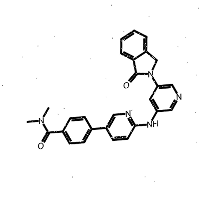 CN(C)C(=O)c1ccc(-c2ccc(Nc3cncc(N4Cc5ccccc5C4=O)c3)nc2)cc1